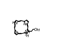 [2H]c1c(CCO)c2cc3nc(cc4ccc(cc5nc(cc1[nH]2)C=C5)[nH]4)C=C3